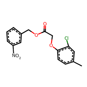 Cc1ccc(OCC(=O)OCc2cccc([N+](=O)[O-])c2)c(Cl)c1